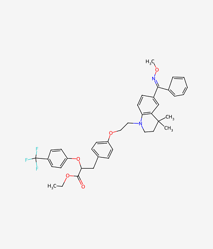 CCOC(=O)C(Cc1ccc(OCCN2CCC(C)(C)c3cc(C(=NOC)c4ccccc4)ccc32)cc1)Oc1ccc(C(F)(F)F)cc1